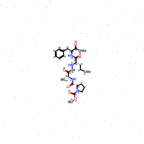 CC[C@H](C)[C@H](NC(=O)[C@@H]1CCCN1C(=O)OC(C)(C)C)C(=O)[Se]N[C@@H](CCSC)C(=O)N[C@@H](Cc1ccccc1)C(=O)OC